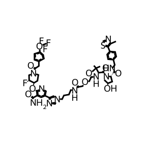 Cc1ncsc1-c1ccc(CNC(=O)[C@@H]2C[C@@H](O)CN2C(=O)C(NC(=O)COCC(=O)NCCCCn2cnc(-c3cnc(O[C@@H]4CCN(C(=O)Cc5ccc(OC(F)(F)F)cc5)C[C@H]4F)c(C(N)=O)c3)c2)C(C)(C)C)cc1